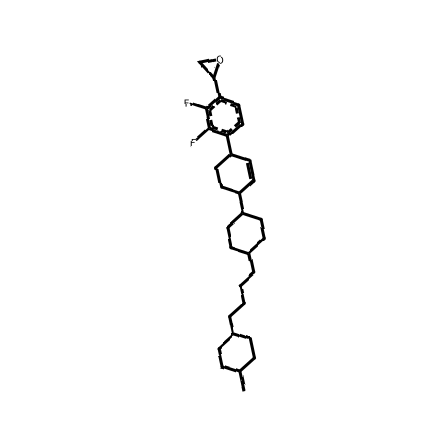 CC1CCC(CCCCC2CCC(C3C=CC(c4ccc(C5CO5)c(F)c4F)CC3)CC2)CC1